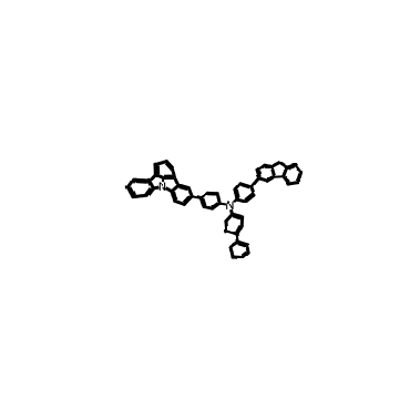 C1=CCCC(C2=CC=C(N(c3ccc(-c4ccc5c(c4)-c4ccccc4C5)cc3)c3ccc(-c4ccc5c(c4)c4cccc6c7ccccc7n5c64)cc3)CC2)=C1